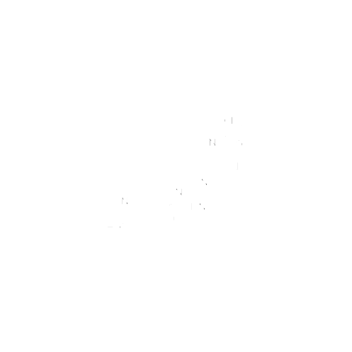 CC(=O)N1CCCCC(n2/c(=N/C(=O)c3ccnc(C)c3)[nH]c3cccc(Cl)c32)C1